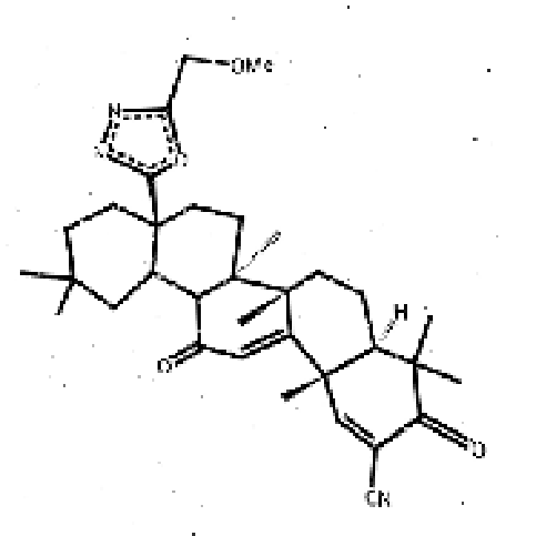 COCc1nnc([C@]23CCC(C)(C)CC2C2C(=O)C=C4[C@@]5(C)C=C(C#N)C(=O)C(C)(C)[C@@H]5CC[C@@]4(C)[C@]2(C)CC3)o1